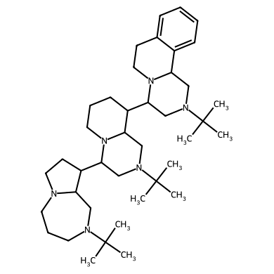 CC(C)(C)N1CCCN2CCC(C3CN(C(C)(C)C)CC4C(C5CN(C(C)(C)C)CC6c7ccccc7CCN65)CCCN34)C2C1